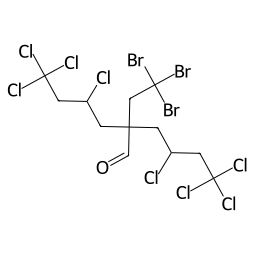 O=CC(CC(Cl)CC(Cl)(Cl)Cl)(CC(Cl)CC(Cl)(Cl)Cl)CC(Br)(Br)Br